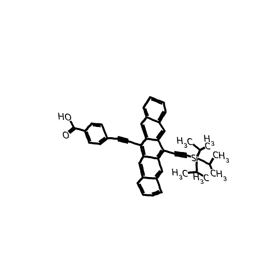 CC(C)[Si](C#Cc1c2cc3ccccc3cc2c(C#Cc2ccc(C(=O)O)cc2)c2cc3ccccc3cc12)(C(C)C)C(C)C